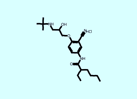 CCCCC(CC)C(=O)Nc1ccc(OCC(O)CNC(C)(C)C)c(C#N)c1.Cl